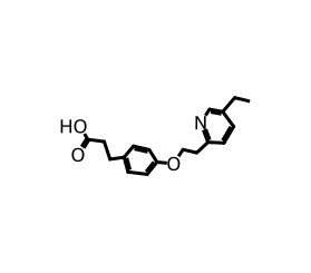 CCc1ccc(CCOc2ccc(CCC(=O)O)cc2)nc1